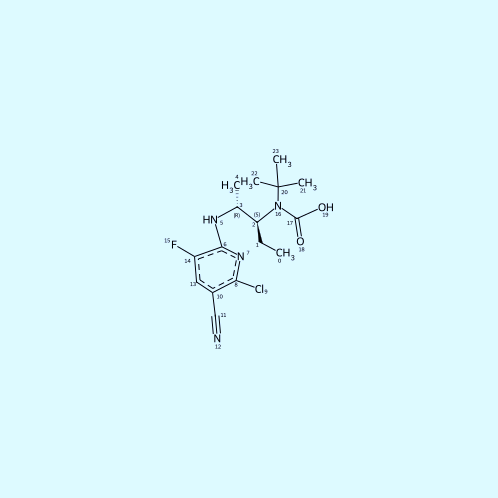 CC[C@@H]([C@@H](C)Nc1nc(Cl)c(C#N)cc1F)N(C(=O)O)C(C)(C)C